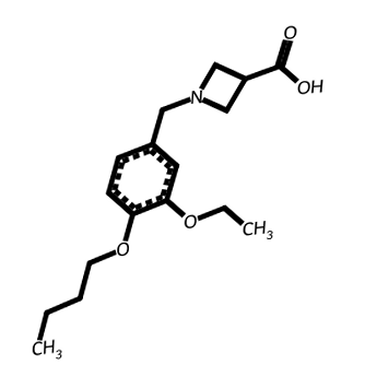 CCCCOc1ccc(CN2CC(C(=O)O)C2)cc1OCC